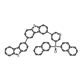 O=P(c1cncc(-c2ccc3sc4ccc(-c5ccc6sc7ccccc7c6c5)cc4c3c2)c1)(c1ccc2ccccc2c1)c1ccc2ccccc2c1